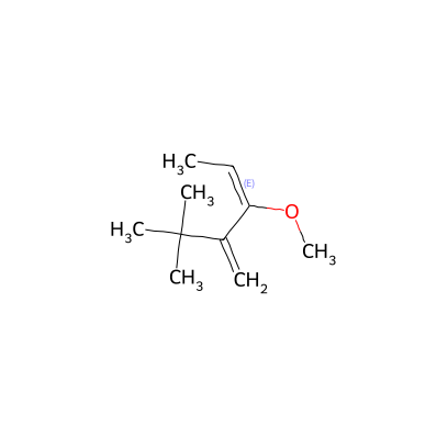 C=C(/C(=C\C)OC)C(C)(C)C